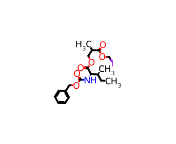 CC[C@H](C)[C@H](NC(=O)OCc1ccccc1)C(=O)OCC(C)C(=O)OCI